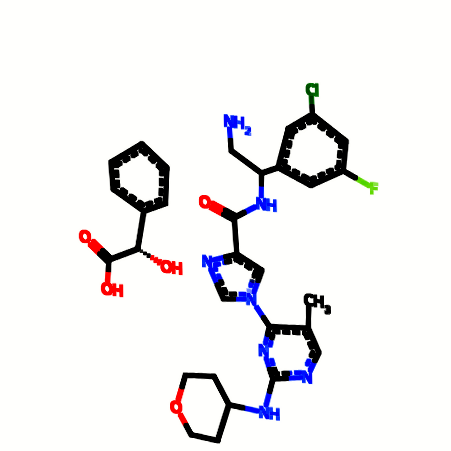 Cc1cnc(NC2CCOCC2)nc1-n1cnc(C(=O)NC(CN)c2cc(F)cc(Cl)c2)c1.O=C(O)[C@@H](O)c1ccccc1